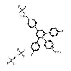 CCCCCC[n+]1ccc(-c2cc(-c3ccc(F)cc3)[n+](-c3cc[n+](CCCCCC)cc3)c(-c3ccc(F)cc3)c2)cc1.F[B-](F)(F)F.F[B-](F)(F)F.F[B-](F)(F)F